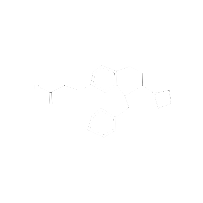 NC(=O)COc1ccc2c(c1)C(Cc1ccccc1)C(N1CCC1)CC2